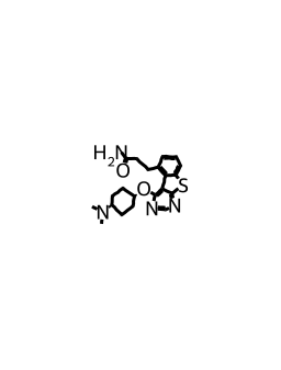 CN(C)[C@H]1CC[C@H](Oc2ncnc3sc4cccc(CCC(N)=O)c4c23)CC1